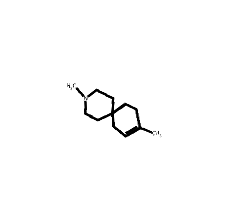 CC1=CCC2(CC1)CCN(C)CC2